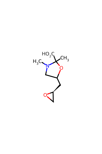 CN1CC(C[C@H]2CO2)OC1(C)C(=O)O